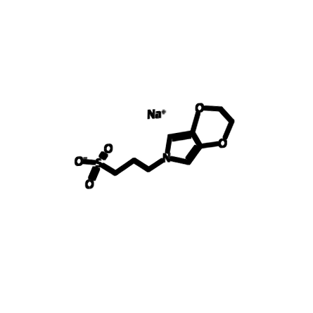 O=S(=O)([O-])CCCn1cc2c(c1)OCCO2.[Na+]